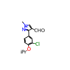 CC(C)Oc1ccc(-c2nn(C)cc2C=O)cc1Cl